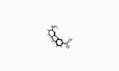 NC1C=C2c3cc([N+](=O)[O-])ccc3OC2CC1